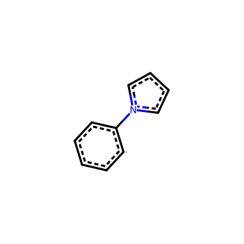 [c]1ccccc1-n1cccc1